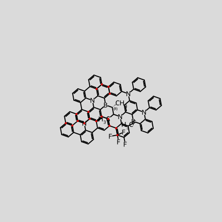 CB1c2ccccc2N(c2ccccc2)c2cc(N(c3ccccc3)c3ccccc3)cc(N(c3ccc(F)cc3F)C(C)[C@@H](C)B3c4ccccc4N(c4c(-c5ccccc5)cccc4-c4ccccc4)c4cc(N(c5ccccc5)c5c(-c6ccccc6)cccc5-c5ccccc5)cc(SCCC(F)(F)F)c43)c21